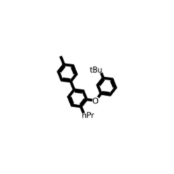 CCCc1ccc(-c2ccc(C)cc2)cc1Oc1cccc(C(C)(C)C)c1